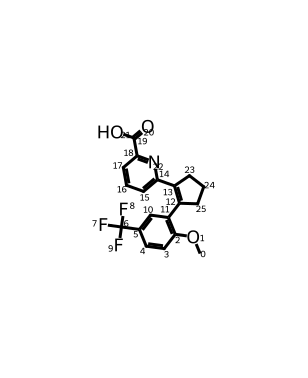 COc1ccc(C(F)(F)F)cc1C1=C(c2cccc(C(=O)O)n2)CCC1